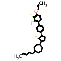 C=CCOc1ccc(-c2ccc([C@H]3CC=C(C4CCCC(CC/C=C/C)CC4)C3F)cc2)c(F)c1F